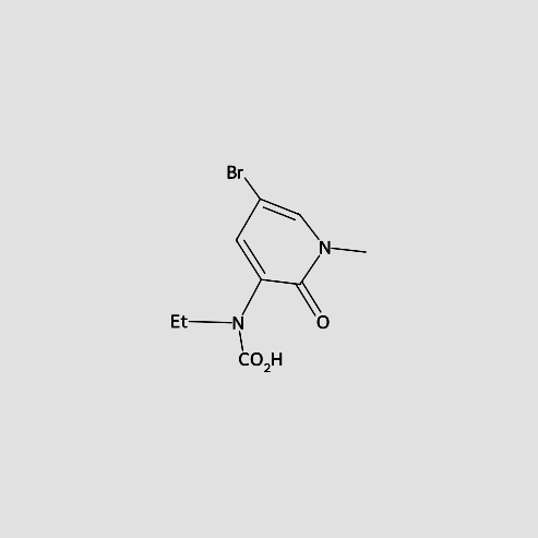 CCN(C(=O)O)c1cc(Br)cn(C)c1=O